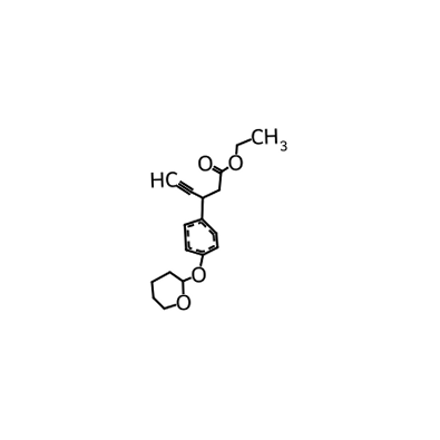 C#CC(CC(=O)OCC)c1ccc(OC2CCCCO2)cc1